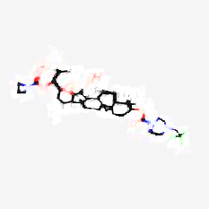 CC(C)C(OC(=O)N1CCC1)C1C[C@@H](C)[C@H]2C(O1)[C@H](O)[C@@]1(C)C3CC[C@H]4C(C)(C)C(OC(=O)N5CCN(CC(F)(F)F)CC5)CCC45CC35CCC21C